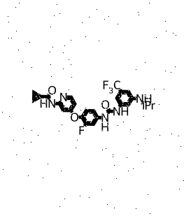 CC(C)Nc1cc(NC(=O)Nc2ccc(Oc3ccnc(NC(=O)C4CC4)c3)c(F)c2)cc(C(F)(F)F)c1